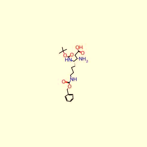 CC(C)(C)OC(=O)N[C@@H](CCCCNC(=O)OCc1ccccc1)[C@@H](N)CC(=O)O